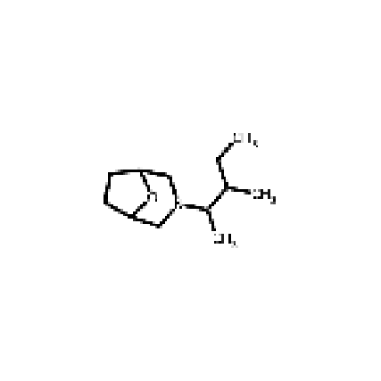 CCC(C)C(C)N1CC2CCC(C1)O2